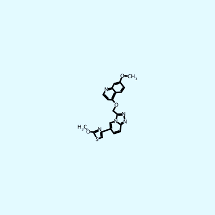 COc1ccc2c(OCc3nnc4ccc(-c5csc(OC)n5)cn34)ccnc2c1